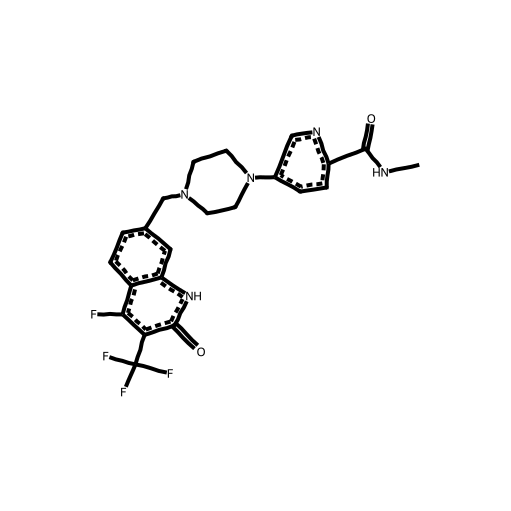 CNC(=O)c1ccc(N2CCN(Cc3ccc4c(F)c(C(F)(F)F)c(=O)[nH]c4c3)CC2)cn1